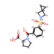 O=C(O)[C@H]1CCCN1C(=O)c1cccc(S(=O)(=O)N2CC3(CC3)C2)c1